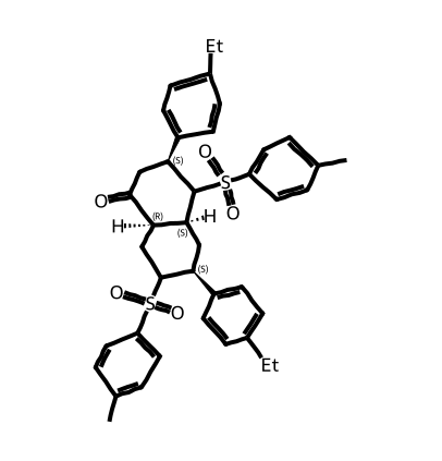 CCc1ccc([C@@H]2C[C@@H]3C(S(=O)(=O)c4ccc(C)cc4)[C@H](c4ccc(CC)cc4)CC(=O)[C@@H]3CC2S(=O)(=O)c2ccc(C)cc2)cc1